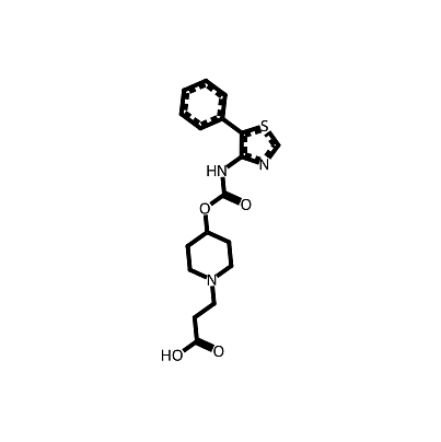 O=C(O)CCN1CCC(OC(=O)Nc2ncsc2-c2ccccc2)CC1